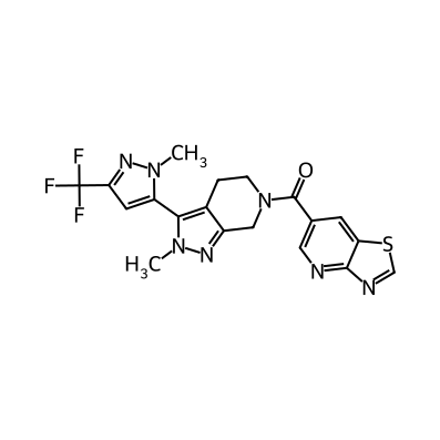 Cn1nc(C(F)(F)F)cc1-c1c2c(nn1C)CN(C(=O)c1cnc3ncsc3c1)CC2